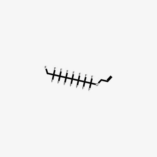 C=CCOC(F)(F)C(F)(F)C(F)(F)C(F)(F)C(F)(F)C(F)(F)C(F)(F)CF